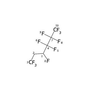 FC(CC(F)(F)F)C(F)(F)C(F)(F)C(F)(F)F